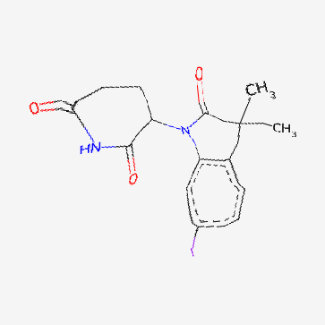 CC1(C)C(=O)N(C2CCC(=O)NC2=O)c2cc(I)ccc21